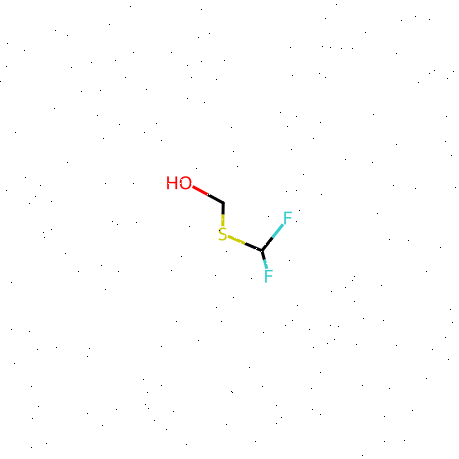 OCSC(F)F